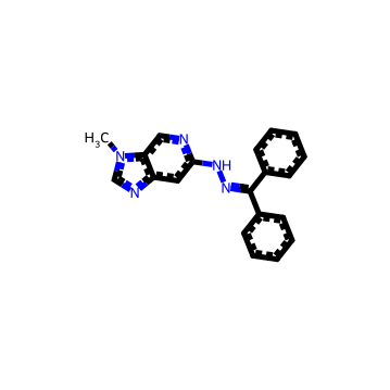 Cn1cnc2cc(NN=C(c3ccccc3)c3ccccc3)ncc21